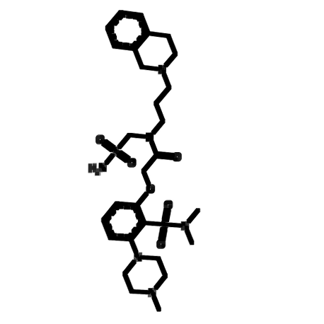 CN1CCN(c2cccc(OCC(=O)N(CCCN3CCc4ccccc4C3)CS(N)(=O)=O)c2S(=O)(=O)N(C)C)CC1